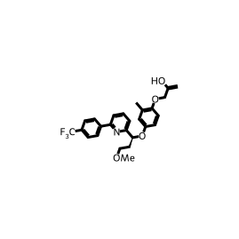 C=C(O)COc1ccc(O[C@@H](CCOC)c2cccc(-c3ccc(C(F)(F)F)cc3)n2)cc1C